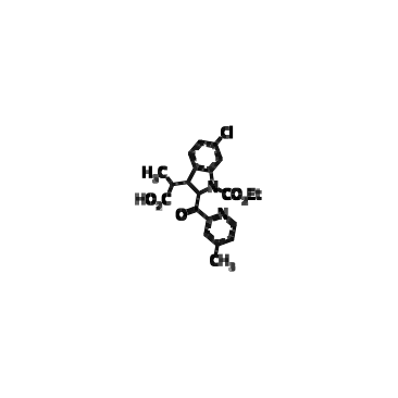 CCOC(=O)N1c2cc(Cl)ccc2C(C(C)C(=O)O)C1C(=O)c1cc(C)ccn1